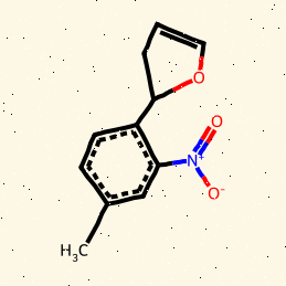 Cc1ccc(C2CC=CO2)c([N+](=O)[O-])c1